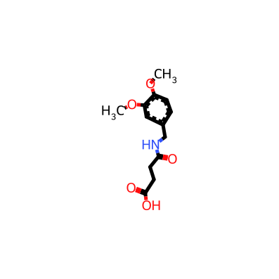 COc1ccc(CNC(=O)CCC(=O)O)cc1OC